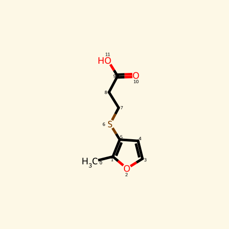 Cc1occc1SCCC(=O)O